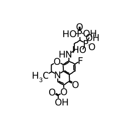 CC1COc2c(NCCC(P(=O)(O)O)P(=O)(O)O)c(F)cc3c(=O)c(OC(=O)O)cn1c23